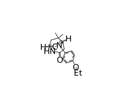 CCOc1ccc(N2C[C@H]3CC(C)(C)[C@@H]2CC(=O)N3)cc1